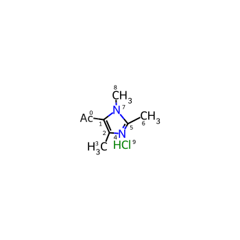 CC(=O)c1c(C)nc(C)n1C.Cl